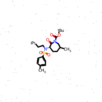 Cc1ccc(S(=O)(=O)N(CCC(C)C)[C@H]2CCC(C)CN(C(=O)OC(C)(C)C)C2=O)cc1